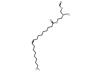 CCCCCCCC/C=C\CCCCCCCC(=O)OCCN(C)COC=O